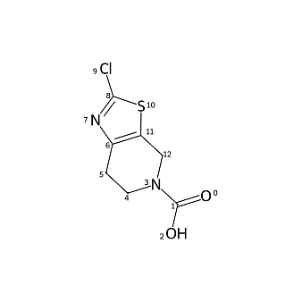 O=C(O)N1CCc2nc(Cl)sc2C1